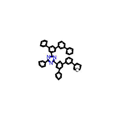 c1ccc(-c2cccc(-c3cc(-c4ccccc4)cc(-c4nc(-c5ccccc5)nc(-c5cc(-c6ccccc6)cc(-c6cccc(-c7ccccc7)c6)c5)n4)c3)c2)cc1